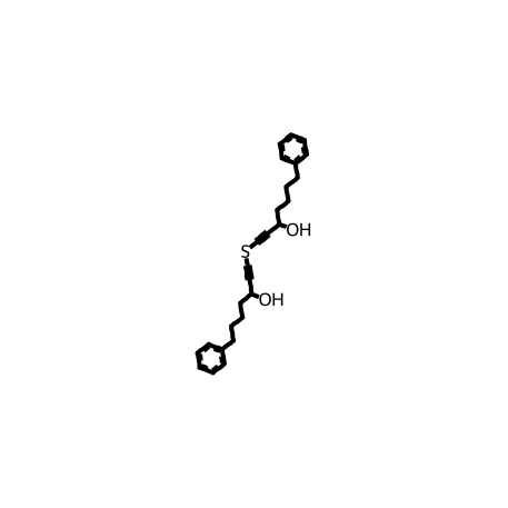 OC(C#CSC#CC(O)CCCCc1ccccc1)CCCCc1ccccc1